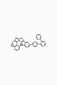 C1=Cc2c3n(c4ccc(-c5ccc(-c6ccccc6-c6ccccc6)cc5)cc24)-c2cccc4c2C2=C(C=CC23C1)CO4